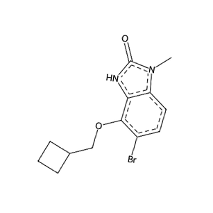 Cn1c(=O)[nH]c2c(OCC3CCC3)c(Br)ccc21